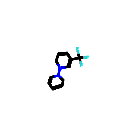 FC(F)(F)C1=CN(N2C=CC=CC2)CC=C1